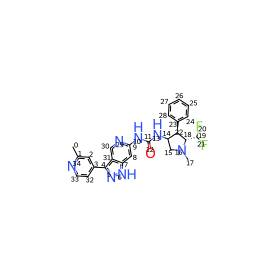 Cc1cc(-c2n[nH]c3cc(NC(=O)NC4CN(C)[C@@H](C(F)F)[C@@H]4c4ccccc4)ncc23)ccn1